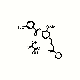 CO[C@@H]1CN(CCCC(=O)N2CCCC2)CC[C@@H]1NC(=O)c1cccc(C(F)(F)F)c1.O=C(O)C(=O)O